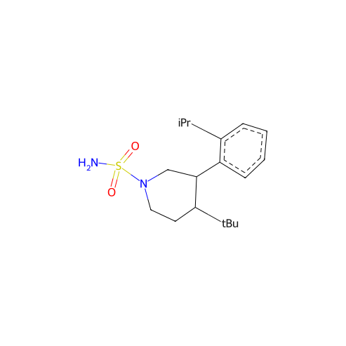 CC(C)c1ccccc1C1CN(S(N)(=O)=O)CCC1C(C)(C)C